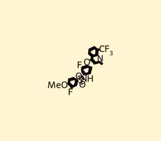 COc1ccc(S(=O)(=O)Nc2ccc(Oc3cc(C)nc4c(C(F)(F)F)cccc34)c(F)c2)cc1F